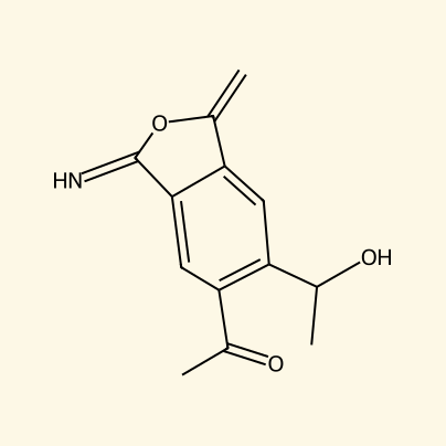 C=C1OC(=N)c2cc(C(C)=O)c(C(C)O)cc21